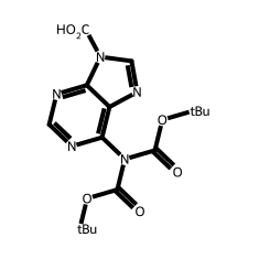 CC(C)(C)OC(=O)N(C(=O)OC(C)(C)C)c1ncnc2c1ncn2C(=O)O